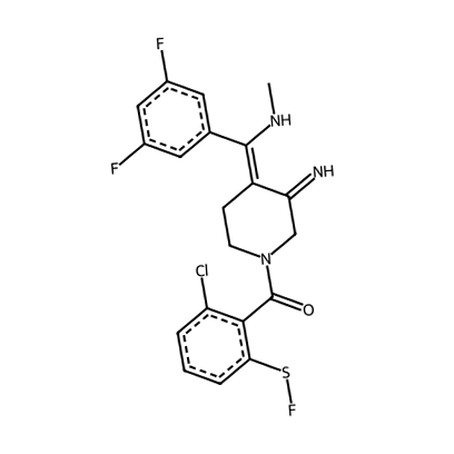 CN/C(=C1/CCN(C(=O)c2c(Cl)cccc2SF)CC1=N)c1cc(F)cc(F)c1